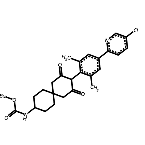 Cc1cc(-c2ccc(Cl)cn2)cc(C)c1C1C(=O)CC2(CCC(NC(=O)OC(C)(C)C)CC2)CC1=O